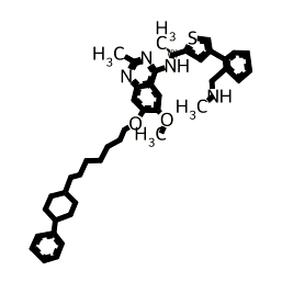 CNCc1ccccc1-c1csc([C@@H](C)Nc2nc(C)nc3cc(OCCCCCCCC4CCC(c5ccccc5)CC4)c(OC)cc23)c1